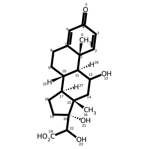 C[C@]12C=CC(=O)C=C1CC[C@@H]1[C@@H]2C(O)C[C@@]2(C)[C@H]1CC[C@]2(O)C(O)C(=O)O